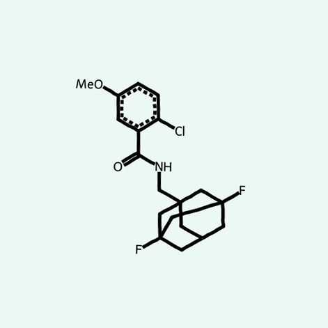 COc1ccc(Cl)c(C(=O)NCC23CC4CC(F)(CC(F)(C4)C2)C3)c1